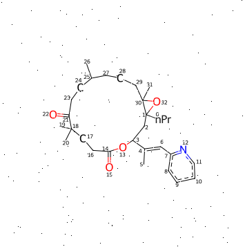 CCCC12CC(C(C)=Cc3ccccn3)OC(=O)CCC(C)(C)C(=O)CCC(C)CCCC1(C)O2